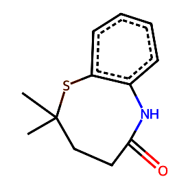 CC1(C)CCC(=O)Nc2ccccc2S1